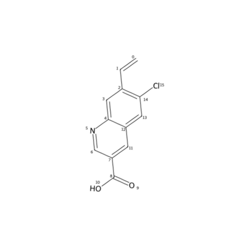 C=Cc1cc2ncc(C(=O)O)cc2cc1Cl